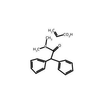 C=CC(=O)O.CN(C)C(=O)C(c1ccccc1)c1ccccc1